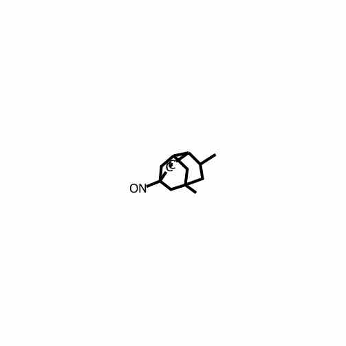 CC1CC2(C)CC3CC(N=O)(CCC13)C2